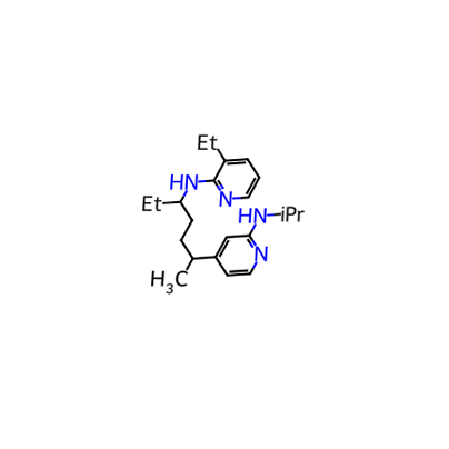 CCc1cccnc1NC(CC)CCC(C)c1ccnc(NC(C)C)c1